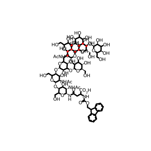 CC(=O)NC1C(O)[C@H](O[C@@H]2OC(CO)[C@H](O)C(O)[C@@H]2O)[C@H](CO)O[C@H]1O[C@@H]1C(O)[C@H](O)C(CO)O[C@@H]1OCC1O[C@@H](O[C@@H]2C(CO)O[C@@H](O[C@@H]3C(CO)O[C@@H](NC(=O)CC(NC(=O)OCC4c5ccccc5-c5ccccc54)C(=O)O)[C@@H](NC(C)=O)C3O)[C@@H](NC(C)=O)C2O)[C@H](O)C(O[C@H]2O[C@H](CO)[C@@H](O)C(O)C2O[C@@H]2OC(CO)[C@@H](O[C@@H]3OC(CO)[C@H](O)C(O)[C@@H]3O)[C@H](O)C2NC(C)=O)[C@@H]1O